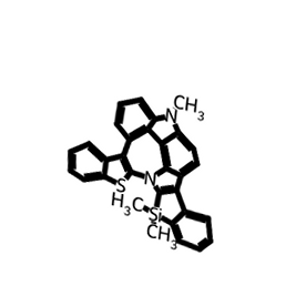 Cn1c2cccc3c2c2c1ccc1c4c(n(c5sc6ccccc6c35)c12)[Si](C)(C)c1ccccc1-4